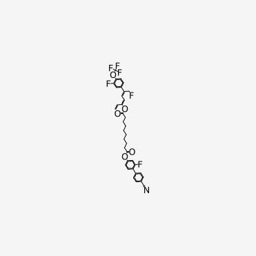 C=C/C(=C\C=C(/CF)c1ccc(OC(F)(F)F)c(F)c1)OC(=O)CCCCCCCCC(=O)Oc1ccc(-c2ccc(C#N)cc2)c(F)c1